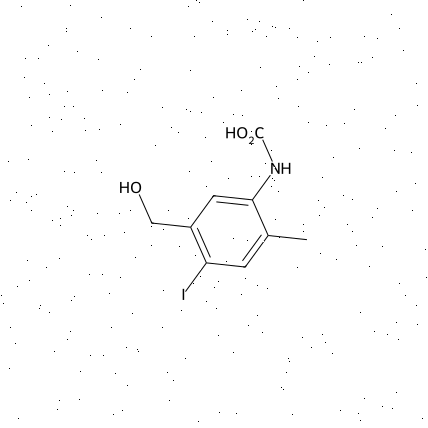 Cc1cc(I)c(CO)cc1NC(=O)O